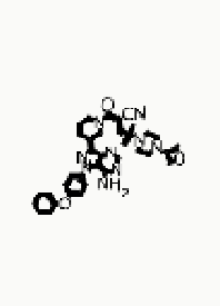 CC(C)(C=C(C#N)C(=O)N1CCCC(c2nn(-c3ccc(Oc4ccccc4)cc3)c3c(N)ncnc23)C1)N1CCN(C2COC2)CC1